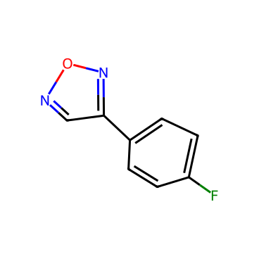 Fc1ccc(-c2cnon2)cc1